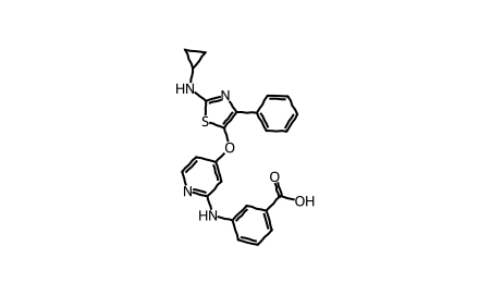 O=C(O)c1cccc(Nc2cc(Oc3sc(NC4CC4)nc3-c3ccccc3)ccn2)c1